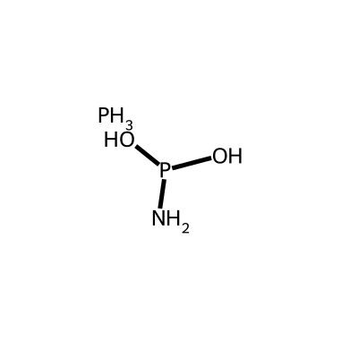 NP(O)O.P